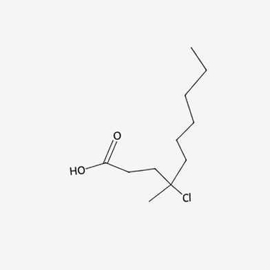 CCCCCCC(C)(Cl)CCC(=O)O